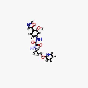 COc1cc(NC(=O)C(=O)NC(C)(C)CCOc2ccccn2)ccc1-c1cnco1